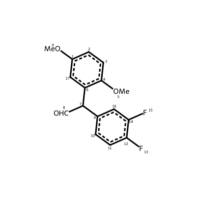 COc1ccc(OC)c(C(C=O)c2ccc(F)c(F)c2)c1